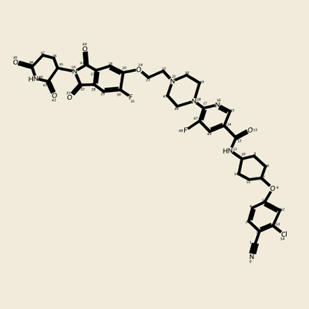 N#Cc1ccc(OC2CCC(NC(=O)c3cnc(N4CCN(CCOc5cc6c(cc5F)C(=O)N(C5CCC(=O)NC5=O)C6=O)CC4)c(F)c3)CC2)cc1Cl